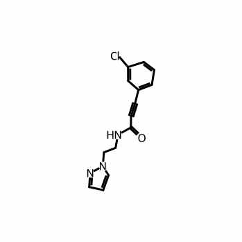 O=C(C#Cc1cccc(Cl)c1)NCCn1cccn1